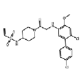 C=CS(=O)(=O)NC1CCN(C(=O)CNc2cc(-c3ccc(Cl)cc3)c(Cl)cc2OC)CC1